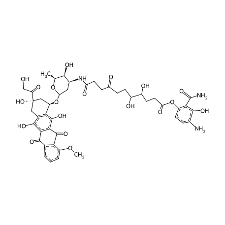 COc1cccc2c1C(=O)c1c(O)c3c(c(O)c1C2=O)C[C@@](O)(C(=O)CO)C[C@H]3OC1C[C@H](NC(=O)CCC(=O)CCC(O)C(O)CCC(=O)Oc2ccc(N)c(O)c2C(N)=O)[C@H](O)[C@H](C)O1